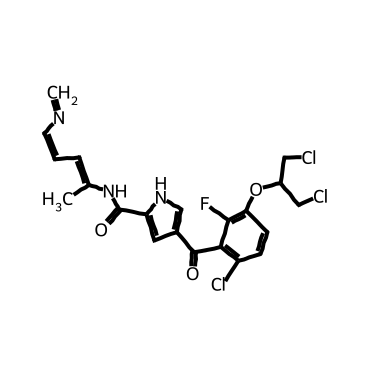 C=N/C=C\C=C(/C)NC(=O)c1cc(C(=O)c2c(Cl)ccc(OC(CCl)CCl)c2F)c[nH]1